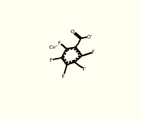 O=C([O-])c1c(F)c(F)c(F)c(F)c1F.[Cu+]